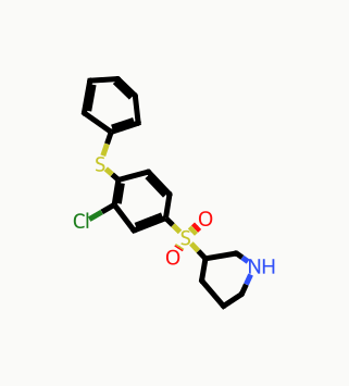 O=S(=O)(c1ccc(Sc2ccccc2)c(Cl)c1)C1CCCNC1